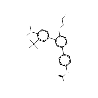 CN(C)c1ccc(-c2cc(-c3ccc(OC(=O)O)cc3)ccc2OCCO)cc1C(C)(C)C